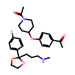 CC(=O)c1ccc(OC2CCN(C(C)=O)CC2)cc1.CNCCCC1(c2ccc(F)cc2)OCCO1